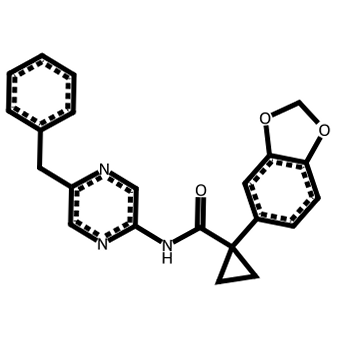 O=C(Nc1cnc(Cc2ccccc2)cn1)C1(c2ccc3c(c2)OCO3)CC1